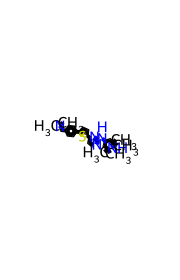 CN(C)Cc1ccc(-c2ccc(-c3ccnc(NC4CC(C)(C)NC(C)(C)C4)n3)s2)cc1